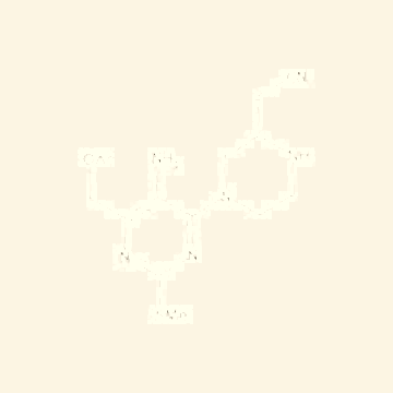 CSc1nc(COC(C)=O)c(N)c(N2CCN[C@@H](CC#N)C2)n1